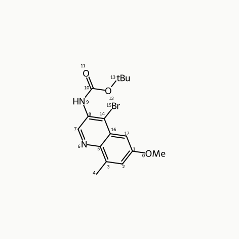 COc1cc(C)c2ncc(NC(=O)OC(C)(C)C)c(Br)c2c1